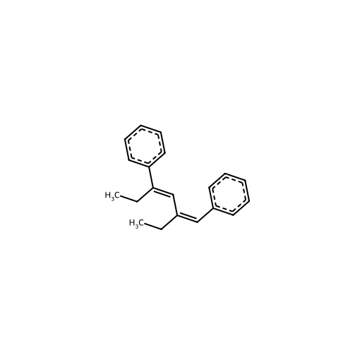 CCC(=Cc1ccccc1)C=C(CC)c1ccccc1